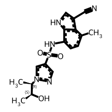 Cc1ccc(NS(=O)(=O)c2cnn([C@H](C)[C@H](C)O)c2)c2[nH]cc(C#N)c12